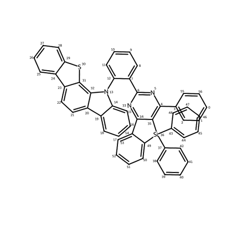 c1ccc(-c2nc(-c3ccccc3-n3c4ccccc4c4ccc5c6ccccc6sc5c43)nc3c2[Si](c2ccccc2)(c2ccccc2)c2ccccc2-3)cc1